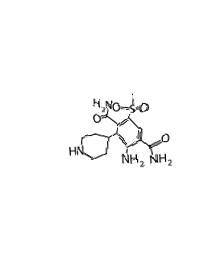 CS(=O)(=O)c1cc(C(N)=O)c(N)c(C2CCNCC2)c1C(N)=O